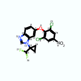 O=[N+]([O-])c1cc(Cl)c(Oc2ccc3ncn(C4(C(F)F)CC4)c3c2)c(Cl)c1